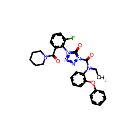 CCN(C(=O)n1nnn(-c2c(F)cccc2C(=O)N2CCCCC2)c1=O)c1ccccc1Oc1ccccc1